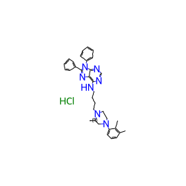 Cc1cccc(N2CCN(CCCCNc3ncnc4c3nc(-c3ccccc3)n4-c3ccccc3)[C@H](C)C2)c1C.Cl